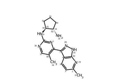 Cc1ccc2c(-c3nc(N[C@H]4CCC[C@@H]4N)ncc3C)n[nH]c2n1